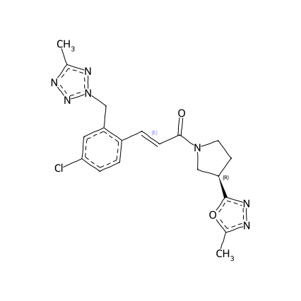 Cc1nnn(Cc2cc(Cl)ccc2/C=C/C(=O)N2CC[C@@H](c3nnc(C)o3)C2)n1